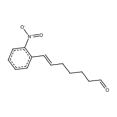 O=CCCCCC=Cc1ccccc1[N+](=O)[O-]